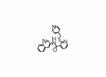 O=C(Nc1cnc2ccccc2c1)c1cccnc1SCc1ccncc1